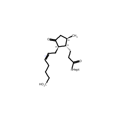 CCCCCCCC(=O)CC[C@H]1[C@H](C)CC(=O)[C@@H]1C/C=C\CCCC(=O)O